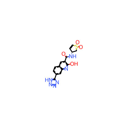 O=C(N[C@@H]1C=CS(=O)(=O)C1)c1cc2ccc(-c3nnn[nH]3)cc2nc1O